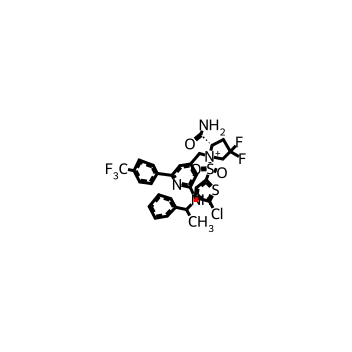 CC(Nc1cc(C[N+]2(S(=O)(=O)c3ccc(Cl)s3)CC(F)(F)C[C@H]2C(N)=O)cc(-c2ccc(C(F)(F)F)cc2)n1)c1ccccc1